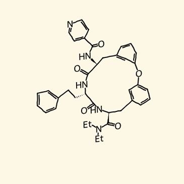 CCN(CC)C(=O)[C@@H]1Cc2cccc(c2)Oc2cccc(c2)C[C@H](NC(=O)c2ccncc2)C(=O)N[C@@H](CCc2ccccc2)C(=O)N1